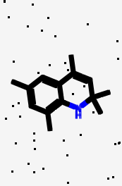 CC1=CC(C)(C)Nc2c(C)cc(C)cc21